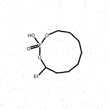 CCC1CCCCCCCOP(=O)(O)O1